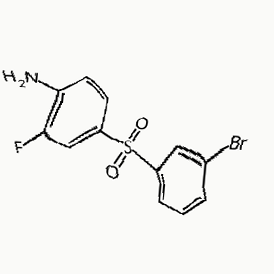 Nc1ccc(S(=O)(=O)c2cccc(Br)c2)cc1F